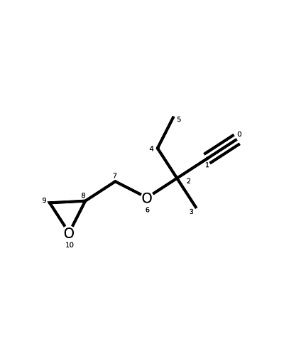 C#CC(C)(CC)OCC1CO1